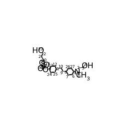 CN(CCO)c1ccc(C=Cc2ccc(OS(=O)(=O)OCCCO)cc2)cc1